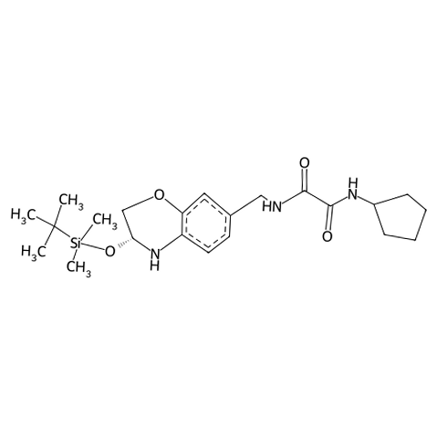 CC(C)(C)[Si](C)(C)O[C@@H]1COc2cc(CNC(=O)C(=O)NC3CCCC3)ccc2N1